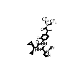 CC(C)n1nccc1C(=O)N[C@H](C(=O)Nc1ccc([C@H](C)C(=O)N(CC(F)(F)F)CC(F)(F)F)cc1F)C(=C1CC1)C1CC1